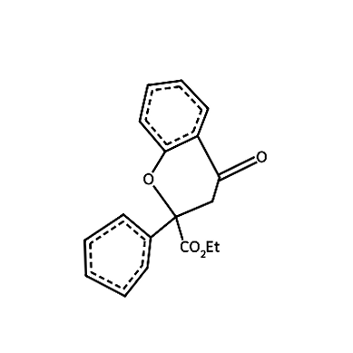 CCOC(=O)C1(c2ccccc2)CC(=O)c2ccccc2O1